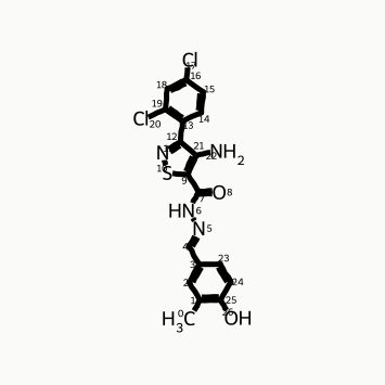 Cc1cc(C=NNC(=O)c2snc(-c3ccc(Cl)cc3Cl)c2N)ccc1O